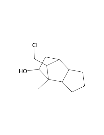 CC12C(O)CC(C3CCCC31)C2CCl